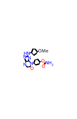 COc1ccc(Nc2ncc3ncc(=O)n(-c4ccc(OC(N)=O)cc4)c3n2)cc1